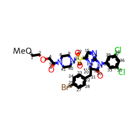 COCCOCC(=O)N1CCN(S(=O)(=O)c2cnc3n2[C@](C)(Cc2ccc(Br)cc2)C(=O)N3c2cc(Cl)cc(Cl)c2)CC1